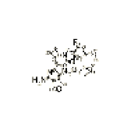 C[Si](C)(C)CCOCn1c(C(=O)N(Cc2ncc(C3CC3)cc2F)C2CCC2)cc2nc(N)c3c(c21)COC3